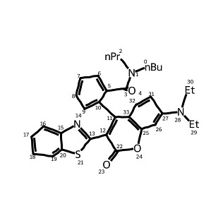 CCCCN(CCC)C(=O)c1ccccc1-c1c(-c2nc3ccccc3s2)c(=O)oc2cc(N(CC)CC)ccc12